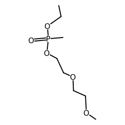 CCOP(C)(=O)OCCOCCOC